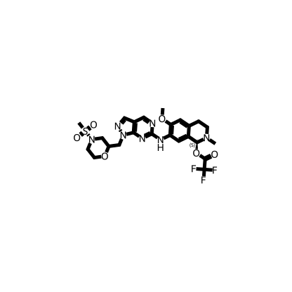 COc1cc2c(cc1Nc1ncc3cnn(CC4CN(S(C)(=O)=O)CCO4)c3n1)[C@H](OC(=O)C(F)(F)F)N(C)CC2